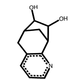 OC1C2Cc3cccnc3C(C2)C1O